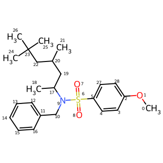 COc1ccc(S(=O)(=O)N(Cc2ccccc2)C(C)CC(C)CC(C)(C)C)cc1